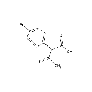 CC(=O)C(C(=O)O)c1ccc(Br)cc1